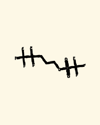 O=S(=O)(OCCCC(F)(F)C(F)(F)F)C(F)(F)F